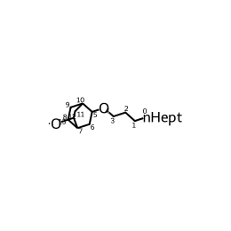 [CH2]CCCCCCCCCOC1CC2CCC1CC2[O]